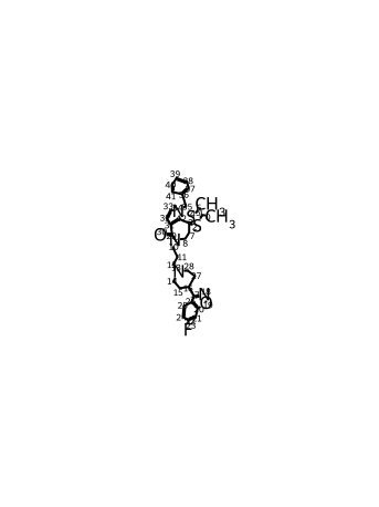 CCSC1(SCC)CCN(CCCN2CCC(c3noc4cc(F)ccc34)CC2)C(=O)c2ccn(Cc3ccccc3)c21